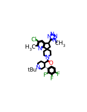 Cc1nc2c(cc1Cl)C(c1nnnn1C)CC21CCN(C(=O)C2CCN(C(C)(C)C)C[C@H]2c2ccc(F)c(F)c2F)CC1